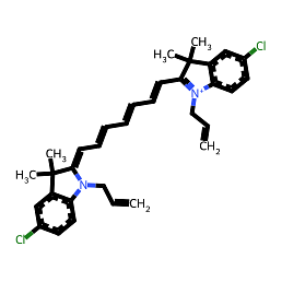 C=CCN1C(=CC=CC=CC=CC2=[N+](CC=C)c3ccc(Cl)cc3C2(C)C)C(C)(C)c2cc(Cl)ccc21